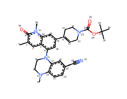 Cc1cc2c(N3CCN(C)c4ccc(C#N)cc43)cc(C3=CCN(C(=O)OC(C)(C)C)CC3)cc2n(C)c1=O